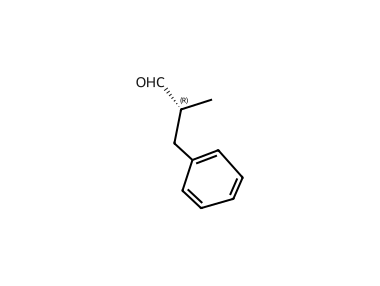 C[C@@H](C=O)Cc1ccccc1